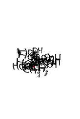 CC(=O)O[C@H]1[C@H](O[C@H]2CC[C@]34C[C@@]35CC[C@]3(C)[C@@H]([C@@]6(C)CC[C@@H](C(C)(C)O)O6)[C@@H](O)C[C@@]3(C)[C@@H]5C[C@H](O[C@@H]3O[C@H](CO)[C@@H](O)[C@H](O)[C@H]3O)C4C2)OC[C@@H](O)[C@@H]1O